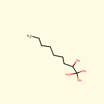 CCCCCCCC(O)C(O)(O)O